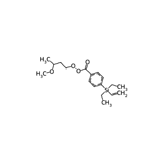 C=C[Si](CC)(CC)c1ccc(C(=O)OO[CH]CC(C)OC)cc1